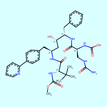 COC(=O)N[C@H](C(=O)N[C@@H](Cc1ccc(-c2ccccn2)cc1)C[C@H](O)[C@H](Cc1ccccc1)NC(=O)[C@H](CNC(N)=O)NC(=O)O)C(C)(C)C